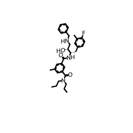 CCCN(CCC)C(=O)c1cc(C)cc(C(=O)N[C@@H](Cc2ccc(F)c(C)c2)[C@H](O)CNCc2ccccc2)c1